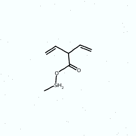 C=CC(C=C)C(=O)O[SiH2]C